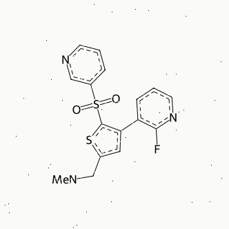 CNCc1cc(-c2cccnc2F)c(S(=O)(=O)c2cccnc2)s1